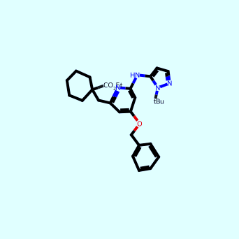 CCOC(=O)C1(Cc2cc(OCc3ccccc3)cc(Nc3ccnn3C(C)(C)C)n2)CCCCC1